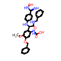 COc1cc(C(Nc2ccc(C(=N)NO)cc2)C(=O)NCc2ccccc2)c(NC(=O)O)cc1OCc1ccccc1